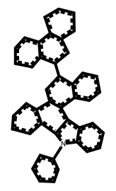 c1ccc(-n2c3ccccc3c3c4c5ccccc5c(-c5cc6ccccc6c6ccccc56)cc4c4ccccc4c32)cc1